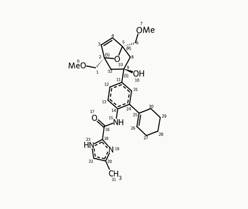 COC[C@@]12C=C[C@@](COC)(C[C@](O)(c3ccc(NC(=O)c4nc(C)c[nH]4)c(C4=CCCCC4)c3)C1)O2